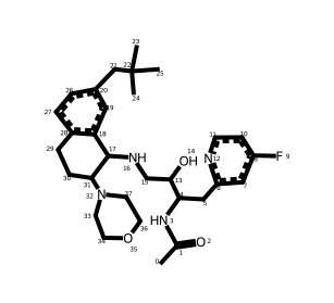 CC(=O)NC(Cc1cc(F)ccn1)C(O)CNC1c2cc(CC(C)(C)C)ccc2CCC1N1CCOCC1